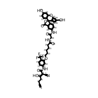 C#CCC/C(O)=C(\C#N)C(=O)Nc1ccc(C(F)(F)F)c(OCCCCCC(=O)NCC(=O)Nc2ccc3c(c2)C(=O)OC32c3ccc(O)cc3Oc3cc(O)ccc32)c1